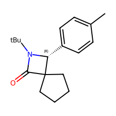 Cc1ccc([C@H]2N(C(C)(C)C)C(=O)C23CCCC3)cc1